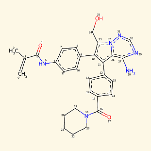 C=C(C)C(=O)Nc1ccc(-c2c(-c3ccc(C(=O)N4CCCCC4)cc3)c3c(N)ncnn3c2CO)cc1